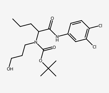 CCCC(C(=O)Nc1ccc(Cl)c(Cl)c1)N(CCCO)C(=O)OC(C)(C)C